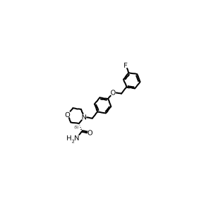 NC(=O)[C@@H]1COCCN1Cc1ccc(OCc2cccc(F)c2)cc1